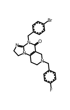 O=C1C2=C(CCN(Cc3ccc(F)cc3)C2)N2CCN=C2N1Cc1ccc(Br)cc1